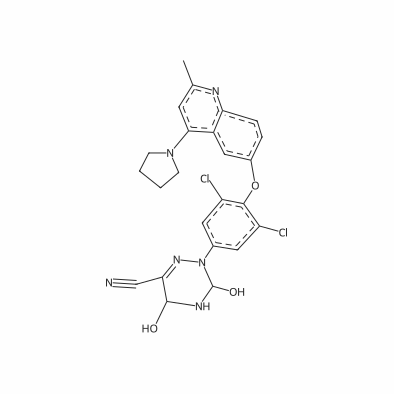 Cc1cc(N2CCCC2)c2cc(Oc3c(Cl)cc(N4N=C(C#N)C(O)NC4O)cc3Cl)ccc2n1